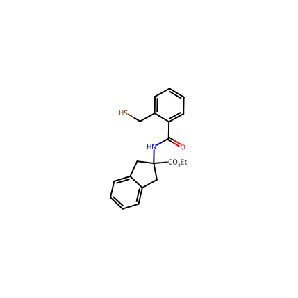 CCOC(=O)C1(NC(=O)c2ccccc2CS)Cc2ccccc2C1